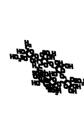 CC1O[C@@H](OC[C@@H]2C(C)O[C@@H](OC[C@H]3C(O)[C@H](OC[C@H]4C(CO[C@@H]5OC(CO[C@@H]6OC(CO)[C@H](O)[C@@H](OS(=O)(=O)O)C6O)[C@H](O)[C@@H](OS(=O)(=O)O)C5O)OC(O)C(O)[C@@H]4OS(=O)(=O)O)OC(CO)[C@@H]3O)C(O)[C@H]2OS(=O)(=O)O)C(O)[C@@H](OS(=O)(=O)O)[C@@H]1O